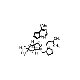 CSc1ncnn2c([C@@H]3O[C@H](CN4CCC[C@H]4CCN(C)C)[C@H]4OC(C)(C)O[C@H]43)ccc12